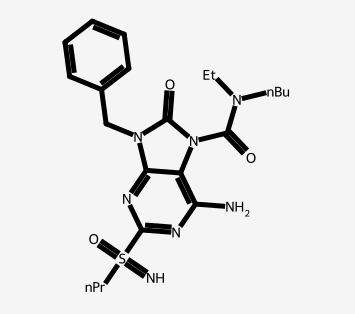 CCCCN(CC)C(=O)n1c(=O)n(Cc2ccccc2)c2nc(S(=N)(=O)CCC)nc(N)c21